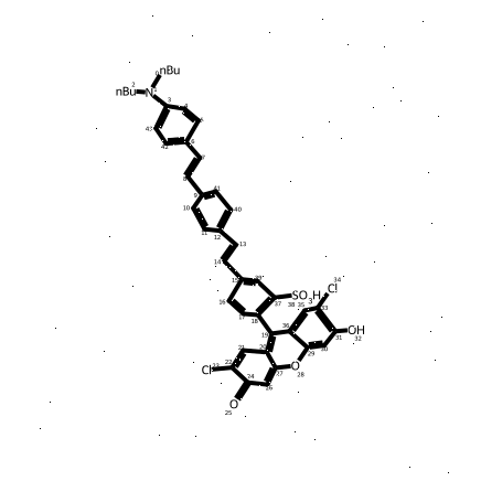 CCCCN(CCCC)c1ccc(/C=C/c2ccc(/C=C/c3ccc(-c4c5cc(Cl)c(=O)cc-5oc5cc(O)c(Cl)cc45)c(S(=O)(=O)O)c3)cc2)cc1